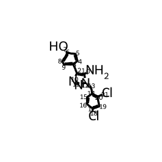 Nc1c(-c2ccc(O)cc2)nnn1Cc1ccc(Cl)cc1Cl